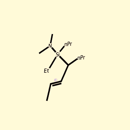 C/C=C/C(CCC)[Si](CC)(CCC)N(C)C